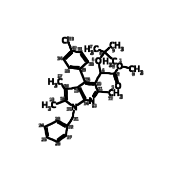 COC(=O)C(OC(C)(C)C)c1c(C)nc2c(c(C)c(C)n2Cc2ccccc2)c1-c1ccc(Cl)cc1